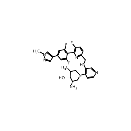 C[C@H]1CN(c2ccncc2NCc2ccc(F)c(-c3c(F)cc(-c4cnn(C)c4)cc3F)n2)C[C@@H](N)[C@@H]1O